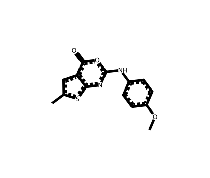 COc1ccc(Nc2nc3sc(C)cc3c(=O)o2)cc1